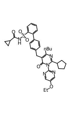 CCCCc1nc(C2CCCC2)n(-c2ncc(OCC)cn2)c(=O)c1Cc1ccc(-c2ccccc2S(=O)(=O)NC(=O)C2CC2)cc1